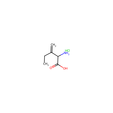 C=C(CC)C(N)C(=O)O.Cl